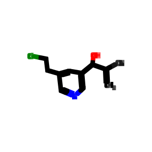 C=C(C#N)C(O)c1cncc(CCCl)c1